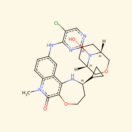 Cn1c(=O)c2c(c3cc(Nc4nc(N5[C@@H]6COC[C@H]5C[C@@H](O)C6)ncc4Cl)ccc31)N[C@@H](C1CC1)CCO2